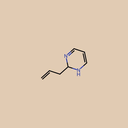 C=CCC1N=CC=CN1